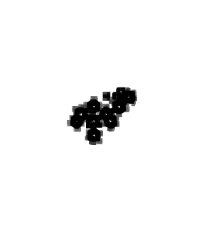 CC1(C)c2ccccc2-c2ccc(-c3ccc(-c4cc(-c5c(-c6ccccc6)ccc6ccccc56)nc(-c5ccccc5)n4)c4ccccc34)cc21